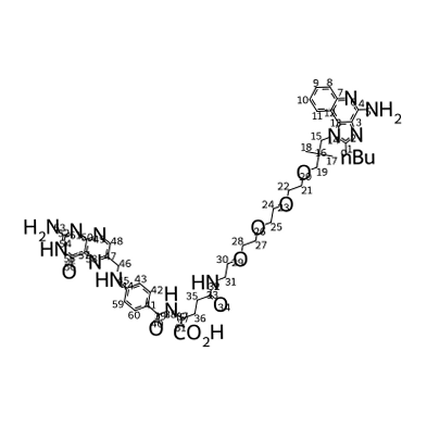 CCCCc1nc2c(N)nc3ccccc3c2n1CC(C)(C)COCCOCCOCCOCCNC(=O)CC[C@H](NC(=O)c1ccc(NCc2cnc3nc(N)[nH]c(=O)c3n2)cc1)C(=O)O